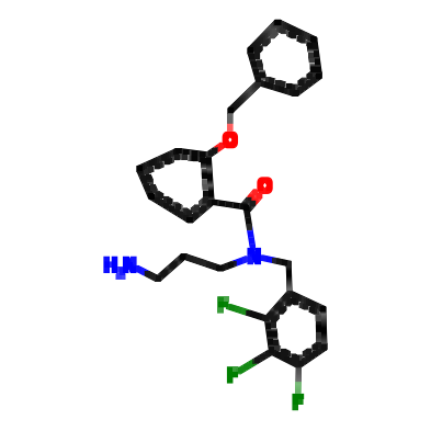 NCCCN(Cc1ccc(F)c(F)c1F)C(=O)c1ccccc1OCc1ccccc1